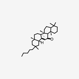 CCCCCC1(C)CC[C@]2(C)CC[C@]3(C)C(=CC(=O)C4[C@@]5(C)CCCC(C)(C)C5CC[C@]43C)[C@@H]2C1